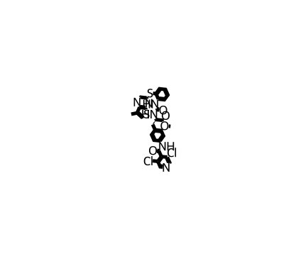 COC(=O)[C@H](Cc1ccc(NC(=O)c2c(Cl)cncc2Cl)cc1)NC(=O)Nc1ccccc1Sc1cnc2c(C)csc2n1